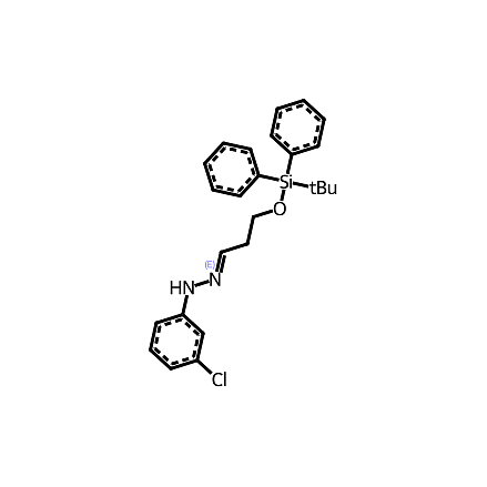 CC(C)(C)[Si](OCC/C=N/Nc1cccc(Cl)c1)(c1ccccc1)c1ccccc1